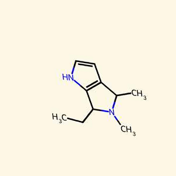 CCC1c2[nH]ccc2C(C)N1C